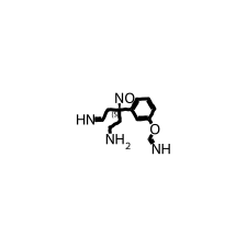 N=CC[C@](CCN)(N=O)c1cccc(OC=N)c1